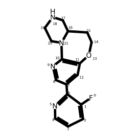 Fc1cccnc1-c1cnc2c(c1)OCCC1CNCCN21